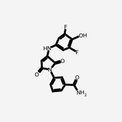 NC(=O)c1cccc(N2C(=O)C=C(Nc3cc(F)c(O)c(F)c3)C2=O)c1